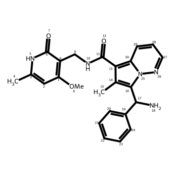 COc1cc(C)[nH]c(=O)c1CNC(=O)c1c(C)c(C(N)c2ccccc2)n2ncccc12